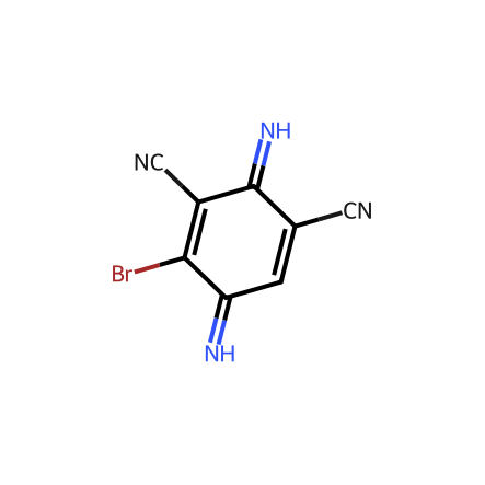 N#CC1=CC(=N)C(Br)=C(C#N)C1=N